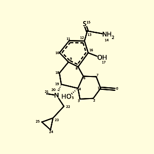 C=C1CC[C@]2(O)C(C1)c1c(ccc(C(N)=S)c1O)C[C@H]2N(C)CC1CC1